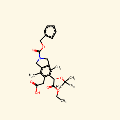 CCOC(=O)[C@@H](OC(C)(C)C)c1c(C)c2c(c(C)c1CC(=O)O)CN(C(=O)OCc1ccccc1)C2